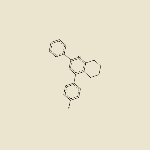 Fc1ccc(-c2cc(-c3ccccc3)nc3c2CCCC3)cc1